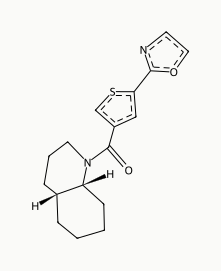 O=C(c1csc(-c2ncco2)c1)N1CCC[C@H]2CCCC[C@H]21